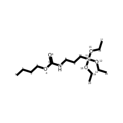 CCCCOC(=O)NCCC[Si](OCC)(OCC)OCC